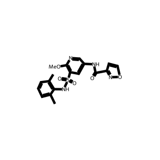 COc1ncc(NC(=O)c2ccon2)cc1S(=O)(=O)Nc1c(C)cccc1C